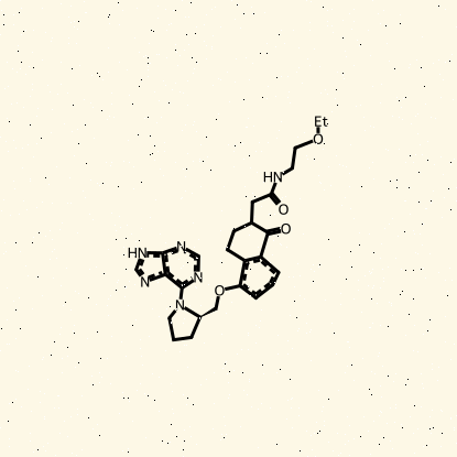 CCOCCNC(=O)CC1CCc2c(OC[C@H]3CCCN3c3ncnc4[nH]cnc34)cccc2C1=O